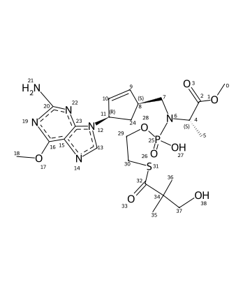 COC(=O)[C@H](C)N(C[C@@H]1C=C[C@H](n2cnc3c(OC)nc(N)nc32)C1)P(=O)(O)OCCSC(=O)C(C)(C)CO